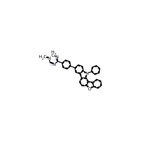 C=N/C=N\C(=N/C)c1ccc(-c2ccc3c(c2)c2ccc4oc5ccccc5c4c2n3-c2ccccc2)cc1